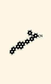 N#Cc1ccc2c(c1)c1ccc(-c3ccc(-c4cc5ccc6cc(-c7ccc8ccccc8c7)cc7ccc(c4)c5c67)cc3)cc1n2-c1ccccc1